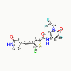 O=C1C[C@@H](C#Cc2cc(C(=O)Nc3cc(F)c(=O)n(CC(F)F)c3)sc2Cl)CCN1